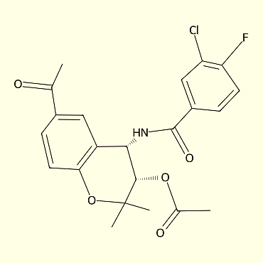 CC(=O)O[C@H]1[C@@H](NC(=O)c2ccc(F)c(Cl)c2)c2cc(C(C)=O)ccc2OC1(C)C